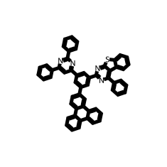 c1ccc(-c2cc(-c3cc(-c4ccc5c6ccccc6c6ccccc6c5c4)cc(-c4nc(-c5ccccc5)c5c(n4)sc4ccccc45)c3)nc(-c3ccccc3)n2)cc1